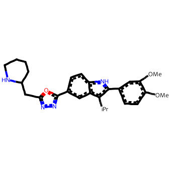 COc1ccc(-c2[nH]c3ccc(-c4nnc(CC5CCCCN5)o4)cc3c2C(C)C)cc1OC